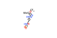 COc1cc2c(Nc3ccc(C=CC(=O)NC4CCS(=O)(=O)C4)cc3)ncnc2cc1OCC(F)(F)F